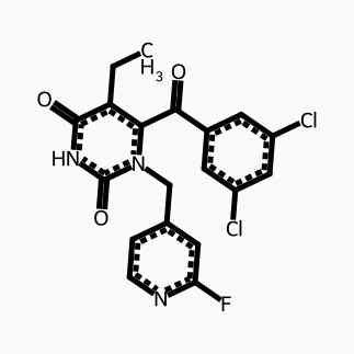 CCc1c(C(=O)c2cc(Cl)cc(Cl)c2)n(Cc2ccnc(F)c2)c(=O)[nH]c1=O